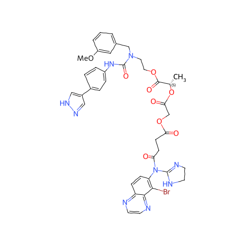 COc1cccc(CN(CCOC(=O)[C@H](C)OC(=O)COC(=O)CCC(=O)N(C2=NCCN2)c2ccc3nccnc3c2Br)C(=O)Nc2ccc(-c3cn[nH]c3)cc2)c1